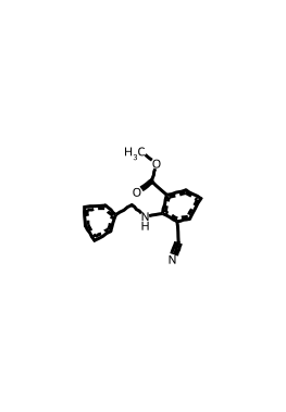 COC(=O)c1cccc(C#N)c1NCc1ccccc1